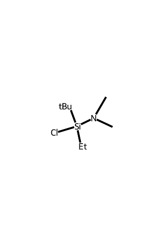 CC[Si](Cl)(N(C)C)C(C)(C)C